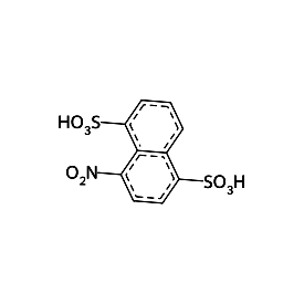 O=[N+]([O-])c1ccc(S(=O)(=O)O)c2cccc(S(=O)(=O)O)c12